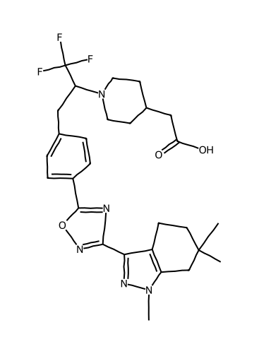 Cn1nc(-c2noc(-c3ccc(CC(N4CCC(CC(=O)O)CC4)C(F)(F)F)cc3)n2)c2c1CC(C)(C)CC2